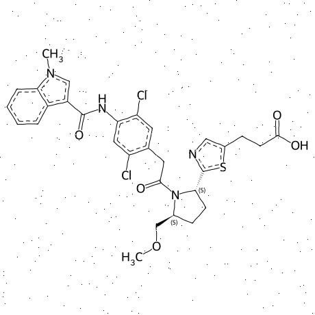 COC[C@@H]1CC[C@@H](c2ncc(CCC(=O)O)s2)N1C(=O)Cc1cc(Cl)c(NC(=O)c2cn(C)c3ccccc23)cc1Cl